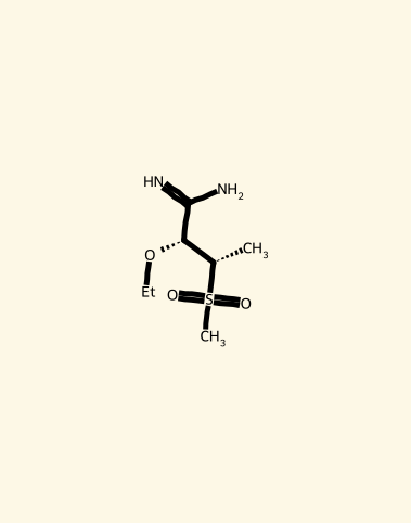 CCO[C@H](C(=N)N)[C@H](C)S(C)(=O)=O